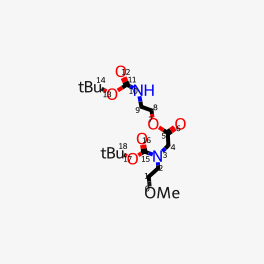 COCCN(CC(=O)OCCNC(=O)OC(C)(C)C)C(=O)OC(C)(C)C